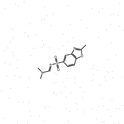 Cc1nc2cc(S(=O)(=O)/N=C/N(C)C)ccc2o1